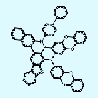 c1ccc(-c2ccc(N3B4c5cc6c(cc5N(c5ccc7c(c5)Oc5ccccc5O7)c5c4c(cc4c5sc5ccccc54)-c4cc5ccccc5cc43)Oc3ccccc3O6)cc2)cc1